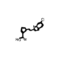 OCC(Br)c1cccc(C=Cc2ccc3ccc(Cl)cc3n2)c1